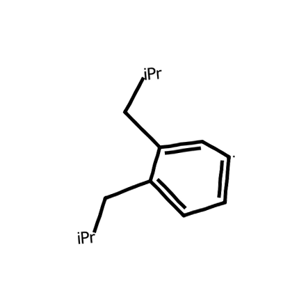 CC(C)Cc1c[c]ccc1CC(C)C